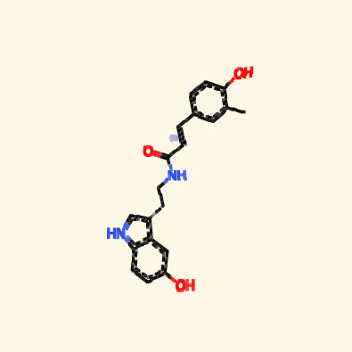 Cc1cc(/C=C/C(=O)NCCc2c[nH]c3ccc(O)cc23)ccc1O